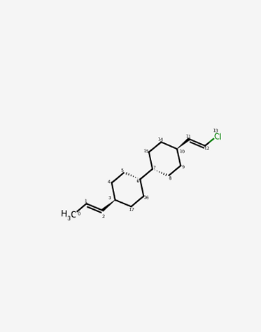 C/C=C/[C@H]1CC[C@H]([C@H]2CC[C@H](/C=C/Cl)CC2)CC1